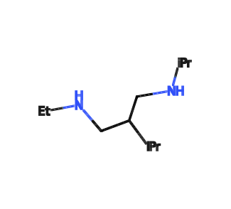 CCNCC(CNC(C)C)C(C)C